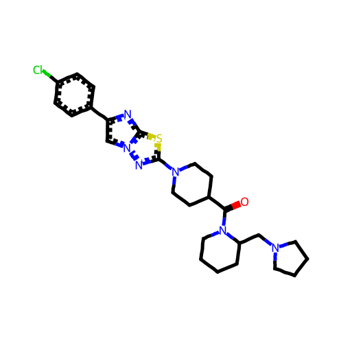 O=C(C1CCN(c2nn3cc(-c4ccc(Cl)cc4)nc3s2)CC1)N1CCCCC1CN1CCCC1